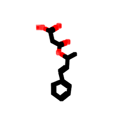 CC(C=Cc1ccccc1)OC(=O)CC(=O)O